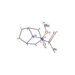 CC(C)C(=O)N1CC2CCC(C1)N2C(=O)OC(C)(C)C